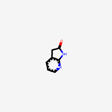 O=C1Cc2[c]ccnc2N1